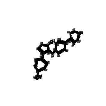 Cc1ccc(-c2ccc(O)cc2)n1Cc1ccc(-c2ccccc2)cc1